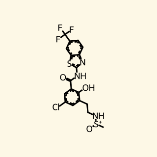 C[S+]([O-])NCCc1cc(Cl)cc(C(=O)Nc2nc3ccc(C(F)(F)F)cc3s2)c1O